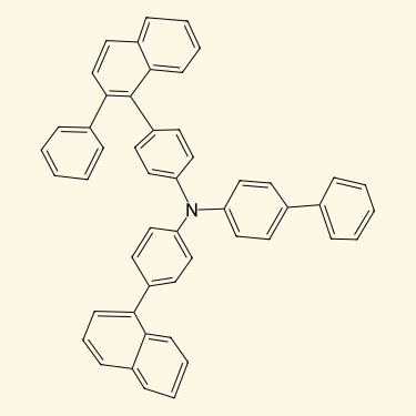 c1ccc(-c2ccc(N(c3ccc(-c4cccc5ccccc45)cc3)c3ccc(-c4c(-c5ccccc5)ccc5ccccc45)cc3)cc2)cc1